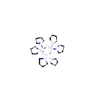 C1CCN(P2(N3CCCC3)=NP(N3CCCC3)(N3CCCC3)=NP(N3CCCC3)(N3CCCC3)=N2)C1